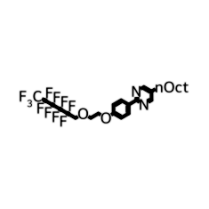 CCCCCCCCc1cnc(-c2ccc(OCCOCC(F)(F)C(F)(F)C(F)(F)C(F)(F)C(F)(F)F)cc2)nc1